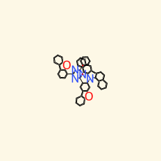 c1ccc(-c2nc(-c3cc4c(cc3-n3c5cc6ccccc6cc5c5ccc6ccccc6c53)oc3ccccc34)nc(-c3cccc4c3oc3ccccc34)n2)cc1